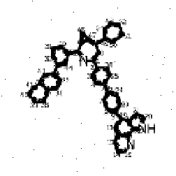 C1=C(c2ccc(-c3ccc(-c4cc5cccnc5c5[nH]ccc45)cc3)cc2)N=C(c2cccc(-c3ccc4ccccc4c3)c2)C2CC2=C1c1ccccc1